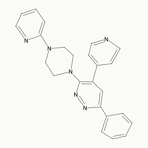 c1ccc(-c2cc(-c3ccncc3)c(N3CCN(c4ccccn4)CC3)nn2)cc1